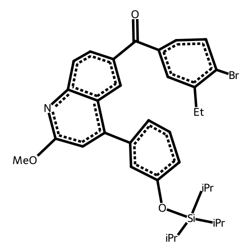 CCc1cc(C(=O)c2ccc3nc(OC)cc(-c4cccc(O[Si](C(C)C)(C(C)C)C(C)C)c4)c3c2)ccc1Br